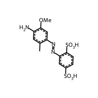 COc1cc(/N=N/c2cc(S(=O)(=O)O)ccc2S(=O)(=O)O)c(C)cc1N